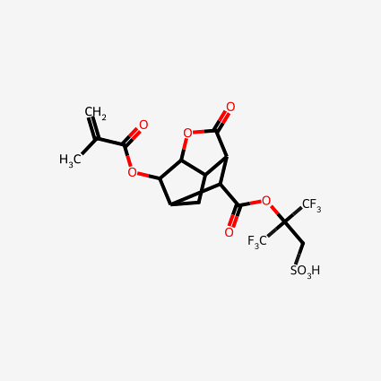 C=C(C)C(=O)OC1C2CC3C1OC(=O)C3C2C(=O)OC(CS(=O)(=O)O)(C(F)(F)F)C(F)(F)F